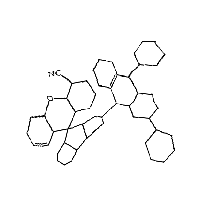 N#CC1CCCC2C1OC1CCC=CC1C21C2CCCCC2C2CCC(C3C4=C(CCCC4)C(C4CCCCC4)C4CCC(C5CCCCC5)CC43)CC21